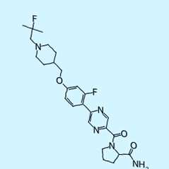 CC(C)(F)CN1CCC(COc2ccc(-c3cnc(C(=O)N4CCCC4C(N)=O)cn3)c(F)c2)CC1